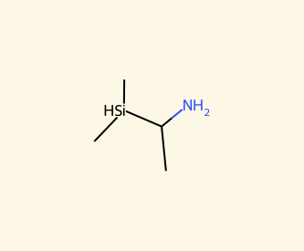 CC(N)[SiH](C)C